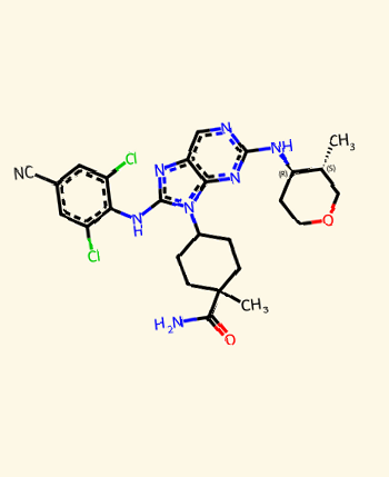 C[C@@H]1COCC[C@H]1Nc1ncc2nc(Nc3c(Cl)cc(C#N)cc3Cl)n(C3CCC(C)(C(N)=O)CC3)c2n1